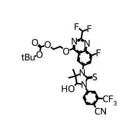 CC(C)(C)OC(=O)OCCOc1nc(C(F)F)nc2c(F)cc(N3C(=S)N(c4ccc(C#N)c(C(F)(F)F)c4)C(O)C3(C)C)cc12